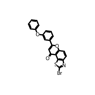 O=c1cc(-c2cccc(Oc3ccccc3)c2)oc2ccc3nc(Br)sc3c12